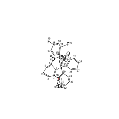 CC(C)(C)Oc1cccc(OC(C)(C)C)c1S(OS(=O)(=O)c1ccc(F)cc1F)(c1ccccc1)c1ccccc1